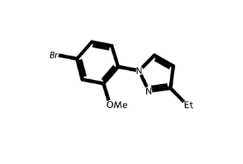 CCc1ccn(-c2ccc(Br)cc2OC)n1